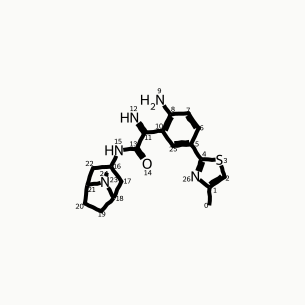 Cc1csc(-c2ccc(N)c(C(=N)C(=O)NC3CC4CCC(C3)N4C)c2)n1